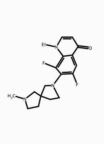 CCn1ccc(=O)c2cc(F)c(N3CCC4(CCN(C)C4)C3)c(F)c21